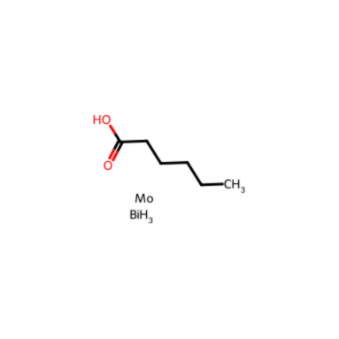 CCCCCC(=O)O.[BiH3].[Mo]